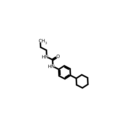 CCCNC(=O)Nc1ccc(C2CCCCC2)cc1